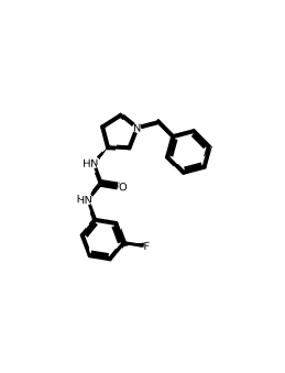 O=C(Nc1cccc(F)c1)N[C@H]1CCN(Cc2ccccc2)C1